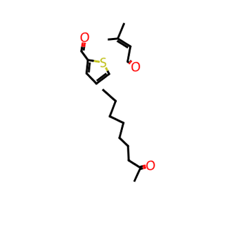 CC(C)=CC=O.CCCCCCCC(C)=O.O=Cc1cccs1